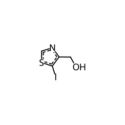 OCc1ncsc1I